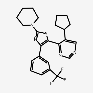 FC(F)(F)c1cccc(-c2nc(N3CCCCC3)sc2-c2n[c]ncc2C2CCCC2)c1